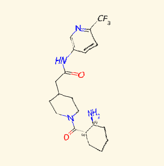 N[C@H]1CCCC[C@@H]1C(=O)N1CCC(CC(=O)Nc2ccc(C(F)(F)F)nc2)CC1